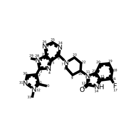 Cc1c(-c2nc3c(N4CCC(n5c(=O)[nH]c6c(F)cccc65)CC4)ncnc3n2C)cnn1C